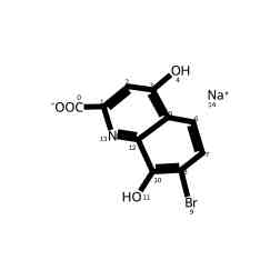 O=C([O-])c1cc(O)c2ccc(Br)c(O)c2n1.[Na+]